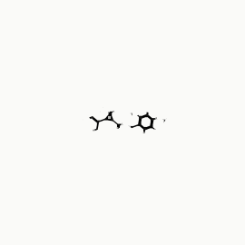 CC=C(CO)C1C(C(=O)OCc2c(F)c(F)c(OC)c(F)c2F)C1(C)C